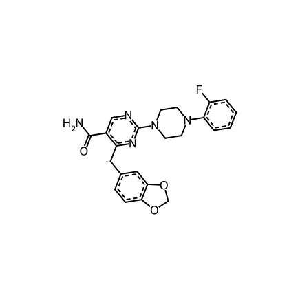 NC(=O)c1cnc(N2CCN(c3ccccc3F)CC2)nc1[CH]c1ccc2c(c1)OCO2